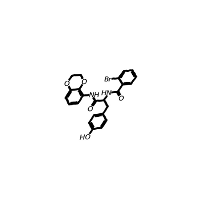 O=C(NC(Cc1ccc(O)cc1)C(=O)Nc1cccc2c1OCCO2)c1ccccc1Br